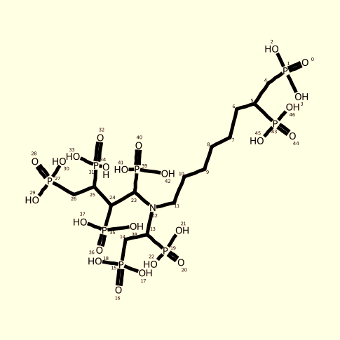 O=P(O)(O)CC(CCCCCCN(C(CP(=O)(O)O)P(=O)(O)O)C(C(C(CP(=O)(O)O)P(=O)(O)O)P(=O)(O)O)P(=O)(O)O)P(=O)(O)O